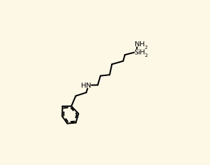 N[SiH2]CCCCCCNCCc1ccccc1